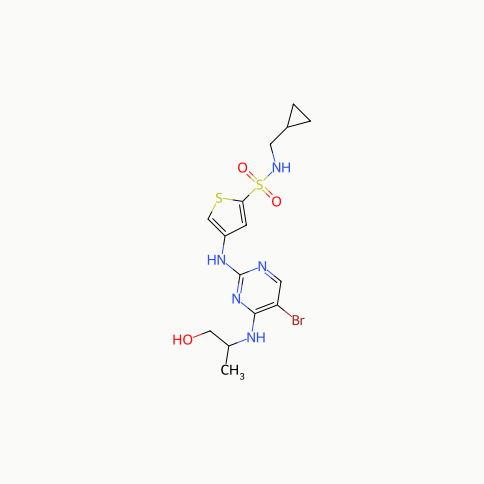 CC(CO)Nc1nc(Nc2csc(S(=O)(=O)NCC3CC3)c2)ncc1Br